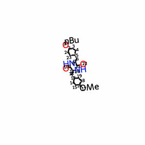 CCCCOc1ccc(C=c2[nH]c(=O)c(=Cc3ccc(OC)cc3)[nH]c2=O)cc1